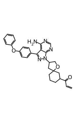 C=CC(=O)C1CCCC2(C1)CC(n1nc(-c3ccc(Oc4ccccc4)cc3)c3c(N)ncnc31)CO2